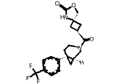 O=C1N[C@]2(CO1)C[C@H](C(=O)N1CC[C@]3(c4ccc(C(F)(F)F)cc4)C[C@@H]3C1)C2